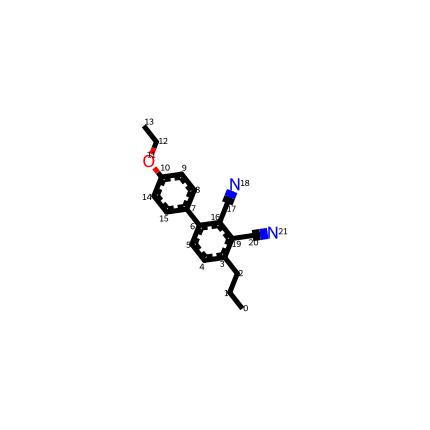 CCCc1ccc(-c2ccc(OCC)cc2)c(C#N)c1C#N